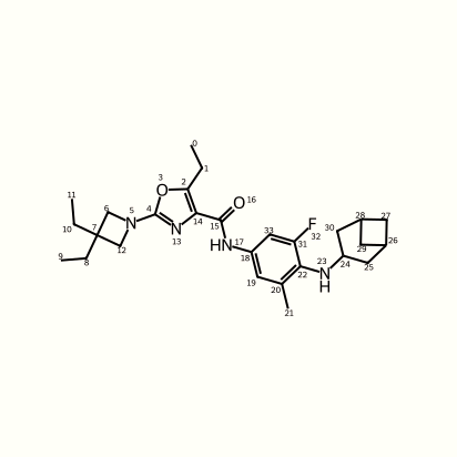 CCc1oc(N2CC(CC)(CC)C2)nc1C(=O)Nc1cc(C)c(NC2CC3CC(C3)C2)c(F)c1